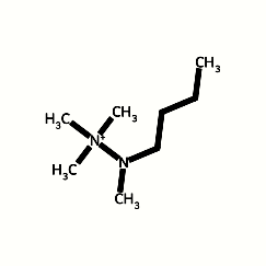 CCCCN(C)[N+](C)(C)C